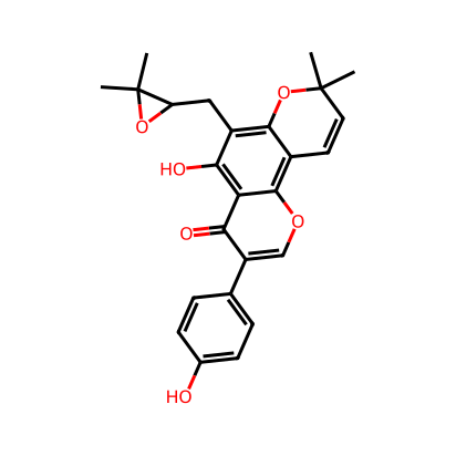 CC1(C)C=Cc2c(c(CC3OC3(C)C)c(O)c3c(=O)c(-c4ccc(O)cc4)coc23)O1